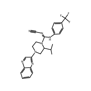 CC(C)C1CN(c2cnc3ccccc3n2)CCN1/C(=N\C#N)Nc1ccc(C(F)(F)F)cc1